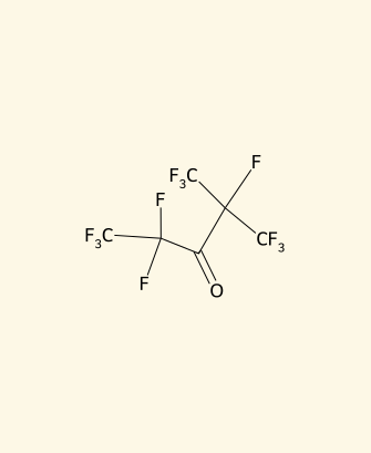 O=C(C(F)(F)C(F)(F)F)C(F)(C(F)(F)F)C(F)(F)F